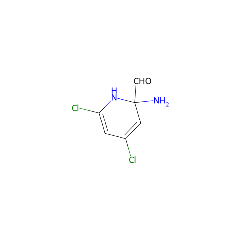 NC1(C=O)C=C(Cl)C=C(Cl)N1